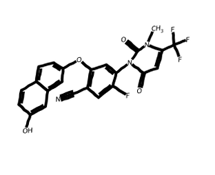 Cn1c(C(F)(F)F)cc(=O)n(-c2cc(Oc3ccc4ccc(O)cc4c3)c(C#N)cc2F)c1=O